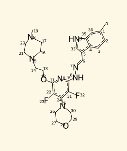 Cc1ccc2c(C=NNc3nc(OCCN4CCN(C)CC4)c(F)c(N4CCOCC4)c3F)c[nH]c2c1